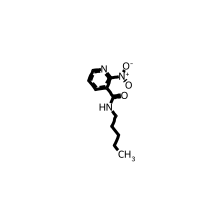 CCCCCNC(=O)c1cccnc1[N+](=O)[O-]